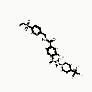 CCS(=O)(=O)c1ccc(CNC(=O)c2ccc(N(C)S(=O)(=O)N3CCC(C(F)(F)F)CC3)c(F)c2)nc1